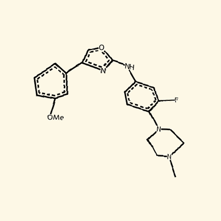 COc1cccc(-c2coc(Nc3ccc(N4CCN(C)CC4)c(F)c3)n2)c1